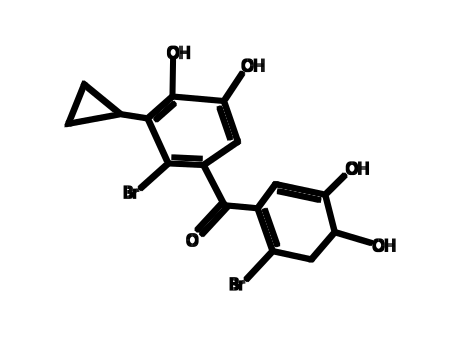 O=C(C1=C(Br)CC(O)C(O)=C1)c1cc(O)c(O)c(C2CC2)c1Br